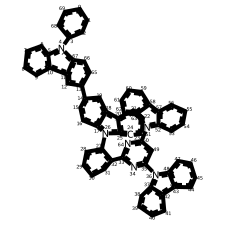 c1ccc(-n2c3ccccc3c3cc(-c4ccc5c(c4)c4ccccc4n5-c4ccccc4-c4nc(-n5c6ccccc6c6ccccc65)cc(-n5c6ccccc6c6ccccc65)n4)ccc32)cc1